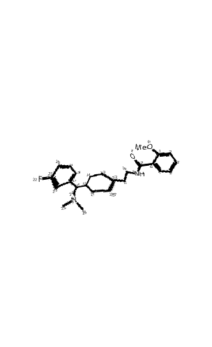 COc1ccccc1C(=O)NCCC1CCC(C(c2cccc(F)c2)N(C)C)CC1